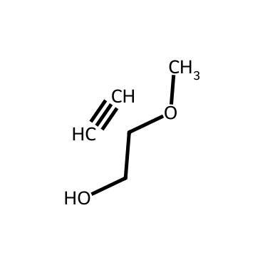 C#C.COCCO